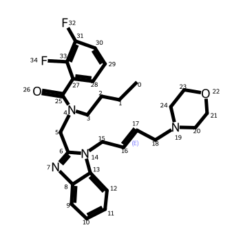 CCCCN(Cc1nc2ccccc2n1C/C=C/CN1CCOCC1)C(=O)c1cccc(F)c1F